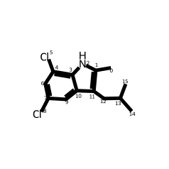 Cc1[nH]c2c(Cl)cc(Cl)cc2c1CC(C)C